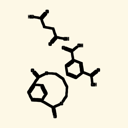 O=C(O)CCC(=O)O.O=C(O)c1cccc(C(=O)O)c1.O=C1OCCCCOC(=O)c2ccc1cc2